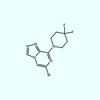 FC1(F)CCN(c2nc(Br)cn3cnnc23)CC1